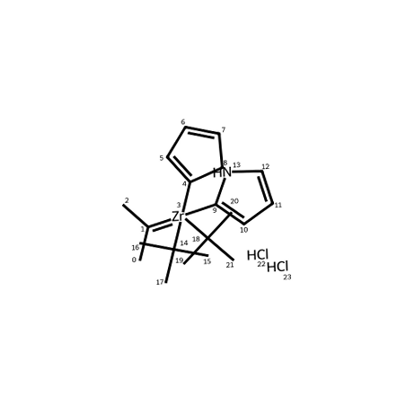 C[C](C)=[Zr]([C]1=CC=CC1)([c]1ccc[nH]1)([C](C)(C)C)[C](C)(C)C.Cl.Cl